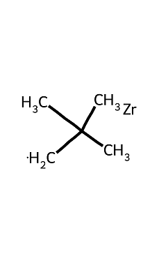 [CH2]C(C)(C)C.[Zr]